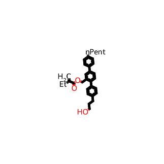 C=C(CC)C(=O)OCc1cc(-c2ccc(CCCCC)cc2)ccc1-c1ccc(CCCO)cc1